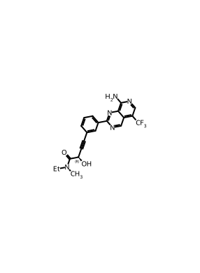 CCN(C)C(=O)[C@H](O)C#Cc1cccc(-c2ncc3c(C(F)(F)F)cnc(N)c3n2)c1